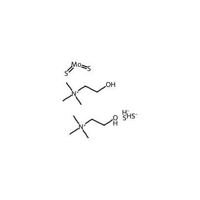 C[N+](C)(C)CCO.C[N+](C)(C)CCO.[SH-].[SH-].[S]=[Mo]=[S]